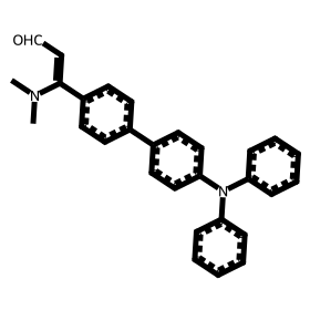 CN(C)C(=CC=O)c1ccc(-c2ccc(N(c3ccccc3)c3ccccc3)cc2)cc1